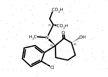 CN([C@@H](CC(=O)O)C(=O)O)[C@]1(c2ccccc2Cl)CCC[C@@H](O)C1=O